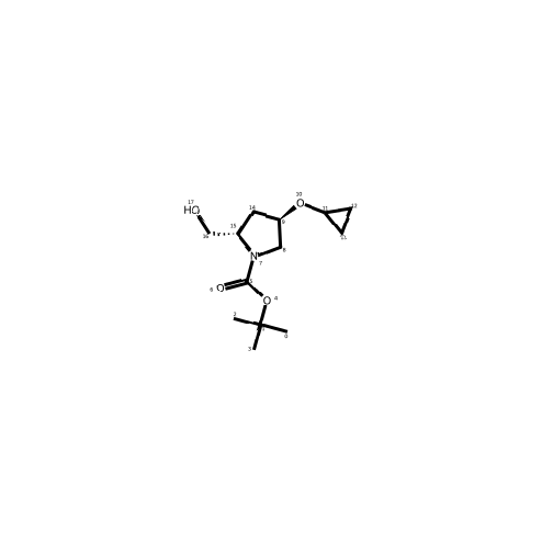 CC(C)(C)OC(=O)N1C[C@H](OC2CC2)C[C@H]1CO